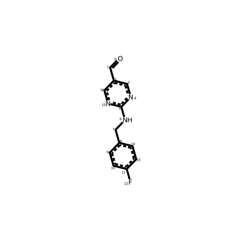 O=Cc1cnc(NCc2ccc(F)cc2)nc1